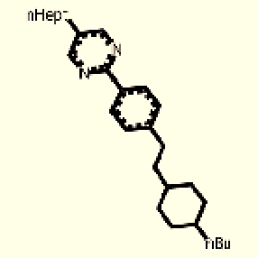 CCCCCCCc1cnc(-c2ccc(CCC3CCC(CCCC)CC3)cc2)nc1